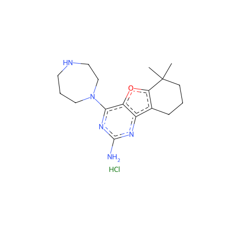 CC1(C)CCCc2c1oc1c(N3CCCNCC3)nc(N)nc21.Cl